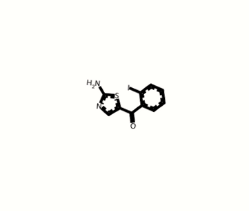 Nc1ncc(C(=O)c2ccccc2I)s1